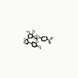 COc1ccc(-c2cnoc2-c2cc(OC)c(OC)c(OC)c2)cc1OC(=O)Oc1ccc([N+](=O)[O-])cc1